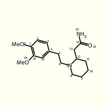 COc1ccc(CCN2CCCCC2CC(N)=O)cc1OC